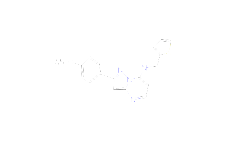 COc1ccc(-c2cc3nccc(NCc4cccs4)n3n2)cc1